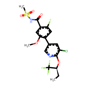 CC[C@H](Oc1ncc(-c2cc(F)c(C(=O)NS(C)(=O)=O)cc2OC)cc1Cl)C(F)(F)F